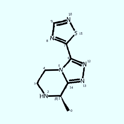 C[C@H]1NCCn2c(-c3ncns3)nnc21